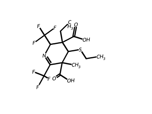 CCSC1C(C)(C(=O)O)C(C(F)(F)F)=NC(C(F)(F)F)C1(CC)C(=O)O